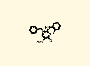 COc1cn(Cc2ccccc2)c(NC2=C(F)C=CCC2)nc1=O